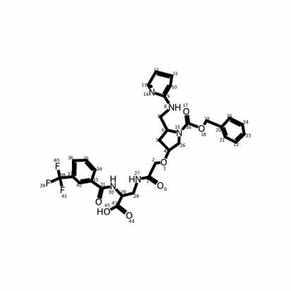 O=C(COC1CC(CNc2ccccn2)N(C(=O)OCc2ccccc2)C1)NCC(NC(=O)c1cccc(C(F)(F)F)c1)C(=O)O